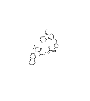 CCn1c2ccccc2c2cc(CN3CCC(NC(=O)OCCN(Cc4cccc5ccccc45)C(=O)OC(C)(C)C)C3)ccc21